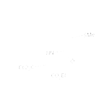 CCOC(=O)C(NC(=O)CSC)C(=O)OCC